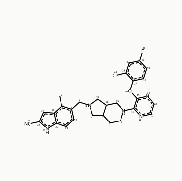 Cc1c(CN2CC3CCN(c4nccnc4Oc4ccc(F)cc4Cl)CC3C2)ccc2[nH]c(C#N)cc12